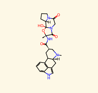 CN1C[C@H](C(=O)N[C@]2(C)OC3(O)[C@@H]4CCCN4C(=O)CN3C2=O)CC2c3cccc4[nH]cc(c34)C[C@H]21